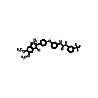 COc1cc(N)c(/C(Cl)=C(\C)c2ccc(Oc3cccc(NC(=O)Nc4cccc(C(F)(F)F)c4)c3)cc2)cc1OC